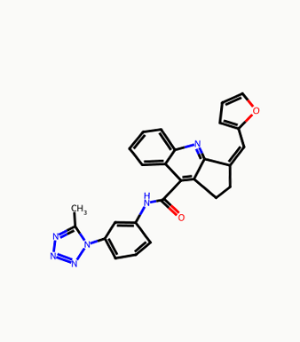 Cc1nnnn1-c1cccc(NC(=O)c2c3c(nc4ccccc24)/C(=C\c2ccco2)CC3)c1